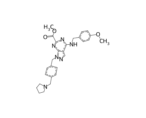 COC(=O)c1nc(NCc2ccc(OC)cc2)c2cnn(Cc3ccc(CN4CCCC4)cc3)c2n1